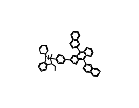 CCC1c2ccccc2N(C2C=CC=CC2)C1(C)c1ccc(-c2ccc3c(-c4ccc5ccccc5c4)c4ccccc4c(-c4ccc5ccccc5c4)c3c2)cc1